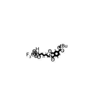 CC(C)(C)OC(=O)c1ccc2c(c1)C(=O)N(CCCCC(=O)NS(=O)(=O)C(F)(F)F)C2=O